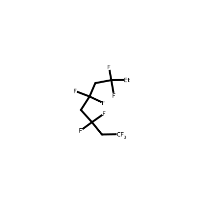 CCC(F)(F)CC(F)(F)CC(F)(F)CC(F)(F)F